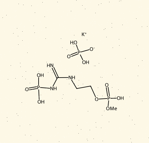 COP(=O)(O)OCCNC(=N)NP(=O)(O)O.O=P([O-])(O)O.[K+]